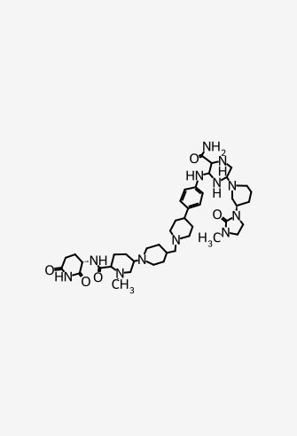 CN1CCN([C@@H]2CCCN(C3CNC(C(N)=O)C(Nc4ccc(C5CCN(CC6CCN(C7CCC(C(=O)N[C@H]8CCC(=O)NC8=O)N(C)C7)CC6)CC5)cc4)N3)C2)C1=O